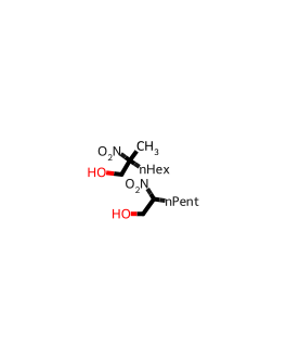 CCCCCC(CO)[N+](=O)[O-].CCCCCCC(C)(CO)[N+](=O)[O-]